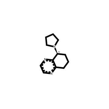 c1cnc2c(n1)CCC[C@@H]2N1CCCC1